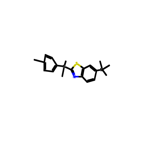 Cc1ccc([Si](C)(C)c2nc3ccc([Si](C)(C)C)cc3s2)cc1